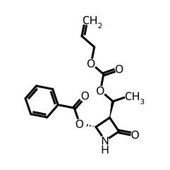 C=CCOC(=O)OC(C)[C@H]1C(=O)N[C@@H]1OC(=O)c1ccccc1